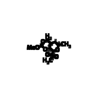 COC(=O)O[C@@H]1C(N)C[C@@H](C)OC1S(C)(=O)=O